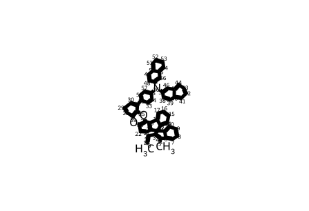 C/C=C\C1=C(C)c2ccccc2C12c1ccccc1-c1c2ccc2c1Oc1c(cccc1-c1ccc(N(c3ccc4ccccc4c3)c3ccc4ccccc4c3)cc1)O2